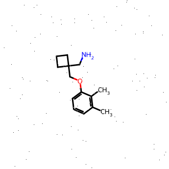 Cc1cccc(OCC2(CN)CCC2)c1C